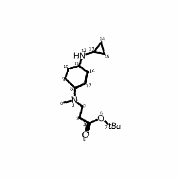 CN(CCC(=O)OC(C)(C)C)C1CCC(NC2CC2)CC1